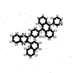 c1cncc(-c2c3ccccc3c(-c3ccc(-c4nc5ccccc5nc4-c4cccc5ccccc45)cc3)c3ccccc23)c1